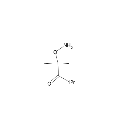 CC(C)C(=O)C(C)(C)ON